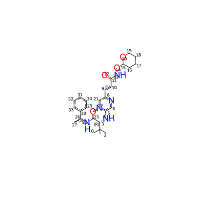 CC(C)[C@@H](Nc1cnc(/C=C/C(=O)NOC2CCCCO2)cn1)C(=O)N[C@@H](C)c1ccccc1